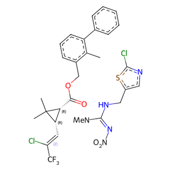 CNC(=N[N+](=O)[O-])NCc1cnc(Cl)s1.Cc1c(COC(=O)[C@@H]2[C@H](/C=C(\Cl)C(F)(F)F)C2(C)C)cccc1-c1ccccc1